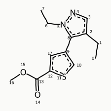 CCc1cnn(CC)c1-c1csc(C(=O)OC)c1